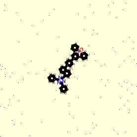 O=P(c1ccccc1)(c1ccccc1)c1ccc(-c2ccc(-c3cccc4c(-c5nc(-c6ccccc6)nc(-c6ccccc6)n5)cccc34)cc2)cc1